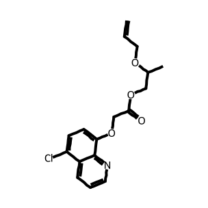 C=CCOC(C)COC(=O)COc1ccc(Cl)c2cccnc12